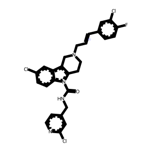 O=C(NCc1ccnc(Cl)c1)n1c2c(c3cc(Cl)ccc31)CN(C/C=C/c1ccc(F)c(Cl)c1)CC2